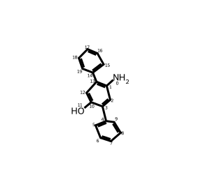 Nc1cc(-c2ccccc2)c(O)cc1-c1ccccc1